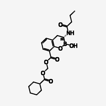 CCCC(=O)N[C@H]1Cc2cccc(C(=O)OCOC(=O)C3CCCCC3)c2OB1O